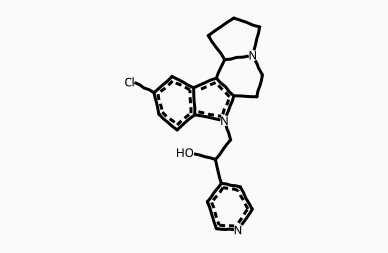 OC(Cn1c2c(c3cc(Cl)ccc31)C1CCCN1CC2)c1ccncc1